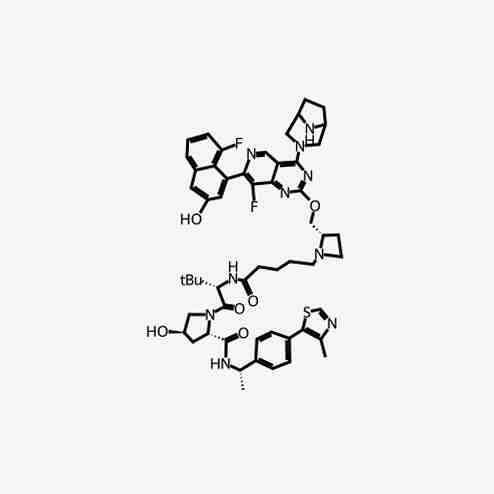 Cc1ncsc1-c1ccc([C@H](C)NC(=O)[C@@H]2C[C@@H](O)CN2C(=O)[C@@H](NC(=O)CCCCN2CC[C@H]2COc2nc(N3CC4CCC(C3)N4)c3cnc(-c4cc(O)cc5cccc(F)c45)c(F)c3n2)C(C)(C)C)cc1